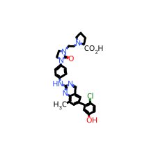 Cc1cc(-c2cc(O)ccc2Cl)cc2cnc(Nc3ccc(N4CCN(CCN5CCCC5C(=O)O)C4=O)cc3)nc12